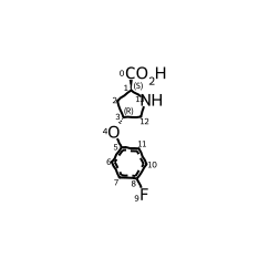 O=C(O)[C@@H]1C[C@@H](Oc2ccc(F)cc2)CN1